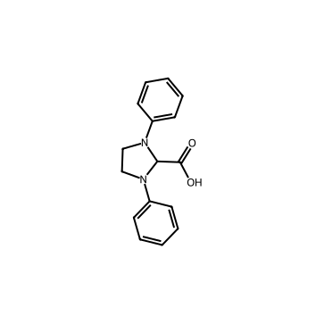 O=C(O)C1N(c2ccccc2)CCN1c1ccccc1